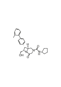 Cc1ccccc1-c1ccc([C@H]2[C@H](CO)N3C(=O)CN(C(=O)NC4CCCC4)C[C@@H]23)cc1